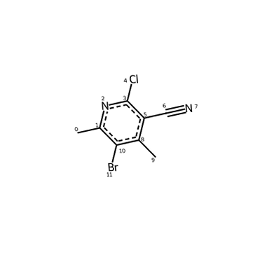 Cc1nc(Cl)c(C#N)c(C)c1Br